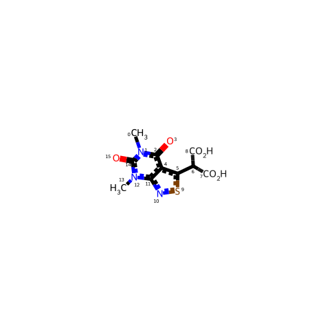 Cn1c(=O)c2c(C(C(=O)O)C(=O)O)snc2n(C)c1=O